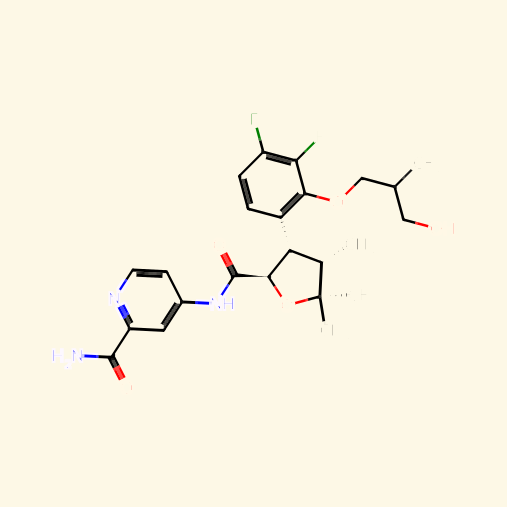 C[C@H]1[C@@H](c2ccc(F)c(F)c2OCC(CO)C(F)(F)F)[C@H](C(=O)Nc2ccnc(C(N)=O)c2)O[C@@]1(C)C(F)(F)F